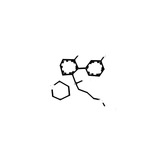 CC(C)c1cccc(-c2c(F)cccc2C(O)(CCCNC(=O)O)[C@@H]2CCCNC2)c1